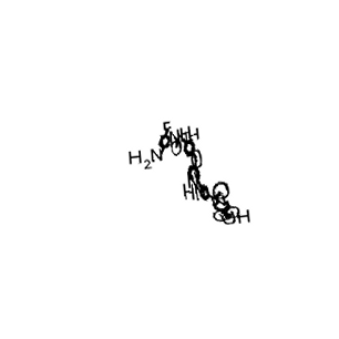 NCc1ccc(F)c(NC(=O)Nc2ccc(Oc3ccnc(-c4cc(C(=O)N5CCC(S(=O)(=O)O)CC5)c[nH]4)c3)cc2)c1